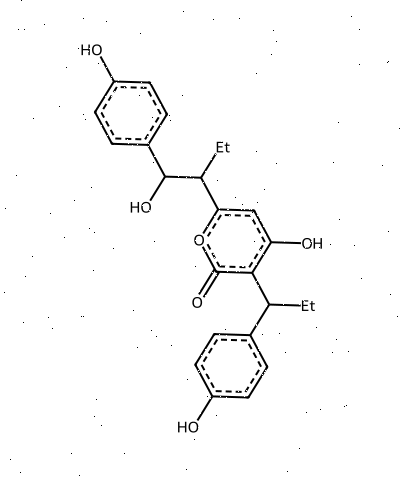 CCC(c1ccc(O)cc1)c1c(O)cc(C(CC)C(O)c2ccc(O)cc2)oc1=O